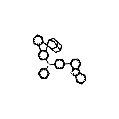 c1ccc(N(c2ccc(-c3cccc4c3sc3ccccc34)cc2)c2ccc3c(c2)C2(c4ccccc4-3)C3CC4CC(C3)CC2C4)cc1